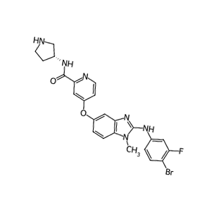 Cn1c(Nc2ccc(Br)c(F)c2)nc2cc(Oc3ccnc(C(=O)N[C@@H]4CCNC4)c3)ccc21